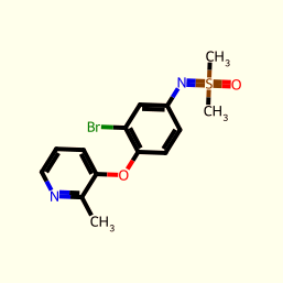 Cc1ncccc1Oc1ccc(N=S(C)(C)=O)cc1Br